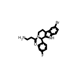 NCCC(=O)N1CCc2c([nH]c3ccc(Br)cc23)C1c1ccc(F)cc1